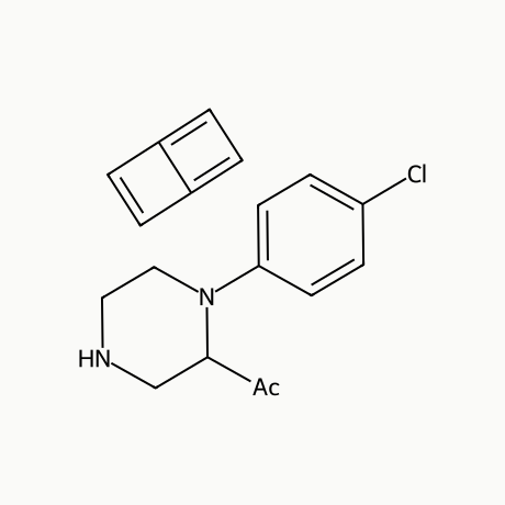 CC(=O)C1CNCCN1c1ccc(Cl)cc1.c1cc2ccc1-2